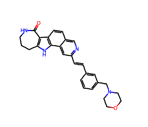 O=C1NCCCc2[nH]c3c(ccc4cnc(/C=C/c5cccc(CN6CCOCC6)c5)cc43)c21